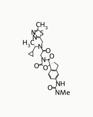 CNC(=O)Nc1ccc2c(c1)CC[C@@]21OC(=O)N(CC(=O)N(Cc2nnc(C)s2)[C@@H](C)C2CC2)C1=O